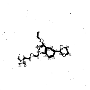 CCOc1nn(COCC[Si](C)(C)C)c2ccc(C3OCCO3)cc12